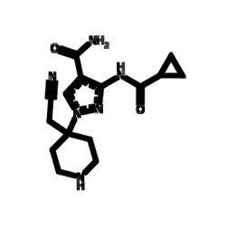 N#CCC1(n2cc(C(N)=O)c(NC(=O)C3CC3)n2)CCNCC1